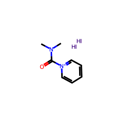 CN(C)C(=O)[n+]1ccccc1.I.I